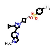 Cc1ccc(S(=O)(=O)OC[C@H]2C[C@H](n3cc(-c4ccc5c(ccn5C)n4)c(C4CC4)n3)C2)cc1